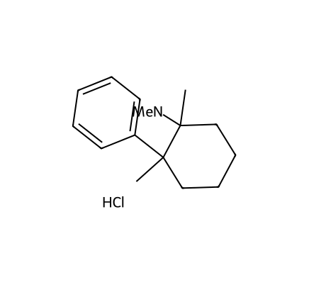 CNC1(C)CCCCC1(C)c1ccccc1.Cl